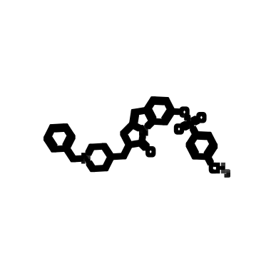 Cc1ccc(S(=O)(=O)Oc2ccc3cc4n(c3c2)C(=O)C(CC2CCN(Cc3ccccc3)CC2)C4)cc1